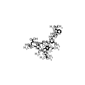 CC(C)Oc1cc(-n2nc(C(C)(C)C)oc2=O)c(Cl)cc1Cl.CCNc1nc(Cl)nc(NC(C)C)n1.COc1cc(OC)nc(NC(=O)NS(=O)(=O)c2ncccc2C(=O)N(C)C)n1.CP(=O)(O)CCC(N)C(=O)O